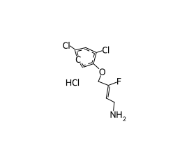 Cl.NCC=C(F)COc1ccc(Cl)cc1Cl